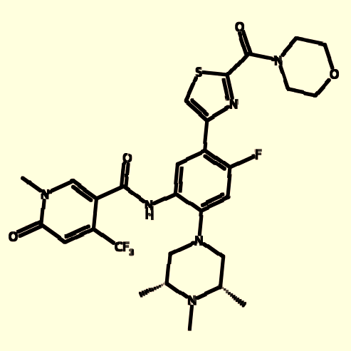 C[C@@H]1CN(c2cc(F)c(-c3csc(C(=O)N4CCOCC4)n3)cc2NC(=O)c2cn(C)c(=O)cc2C(F)(F)F)C[C@H](C)N1C